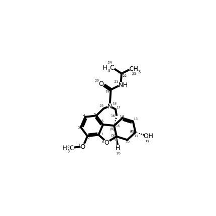 COc1ccc2c3c1O[C@H]1C[C@@H](O)C=C[C@]31CCN(C(=O)NC(C)C)C2